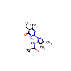 CCc1c(C)nc(-n2nc(C)c(C)c2NC(=O)C2CC2)[nH]c1=O